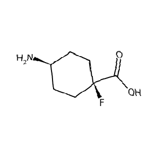 N[C@H]1CC[C@](F)(C(=O)O)CC1